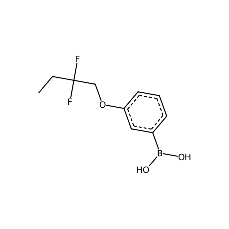 CCC(F)(F)COc1cccc(B(O)O)c1